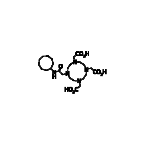 O=C(O)CN1CCN(CC(=O)O)CCN(CC(=O)NC2CCCCCCCC2)CCN(CC(=O)O)CC1